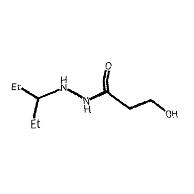 CCC(CC)NNC(=O)CCO